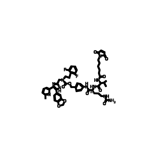 Cc1cccc(-c2nc(CN(CCc3c(F)cccc3F)C(=O)OCc3ccc(NC(=O)[C@H](CCCNC(N)=O)NC(=O)C(NC(=O)CCCCCN4C(=O)C=CC4=O)C(C)C)cc3)[nH]c2-c2ccc3c(c2)OCO3)n1